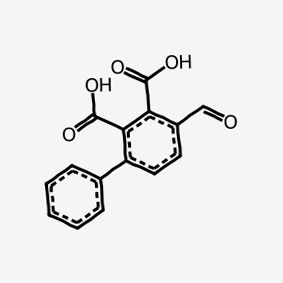 O=Cc1ccc(-c2ccccc2)c(C(=O)O)c1C(=O)O